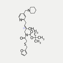 CC(C)(C)OC(=O)N(C/C(O)=C/Cc1cc(CN2CCCCC2)ccn1)C(=O)CSCc1ccco1